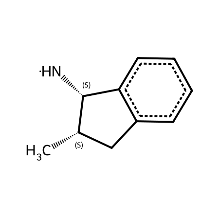 C[C@H]1Cc2ccccc2[C@H]1[NH]